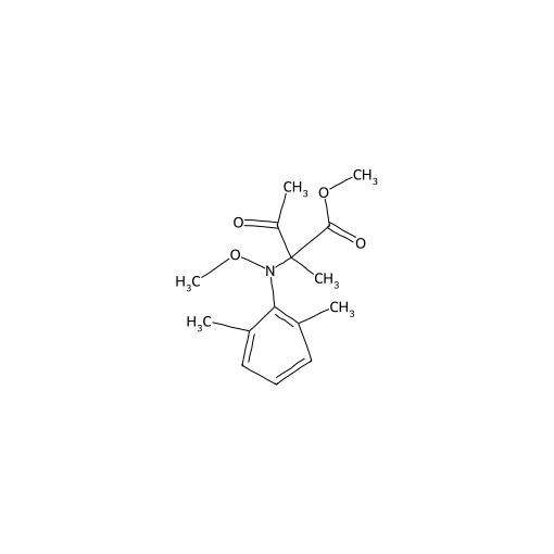 COC(=O)C(C)(C(C)=O)N(OC)c1c(C)cccc1C